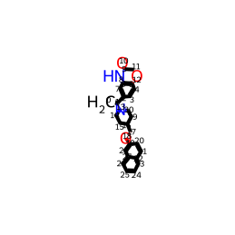 C=C(c1ccc2c(c1)NC(=O)CO2)N1CCC(COc2ccc3ccccc3c2)CC1